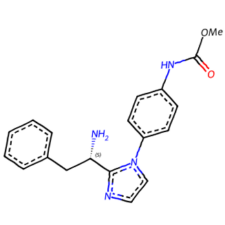 COC(=O)Nc1ccc(-n2ccnc2[C@@H](N)Cc2ccccc2)cc1